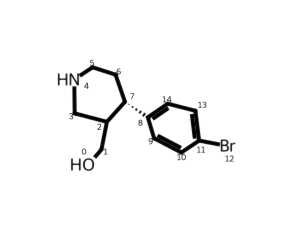 OCC1CNCC[C@@H]1c1ccc(Br)cc1